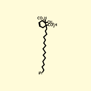 CC(C)CCCCCCCCCCCCCCCC1(C(=O)O)CC=CCC1(C)C(=O)O